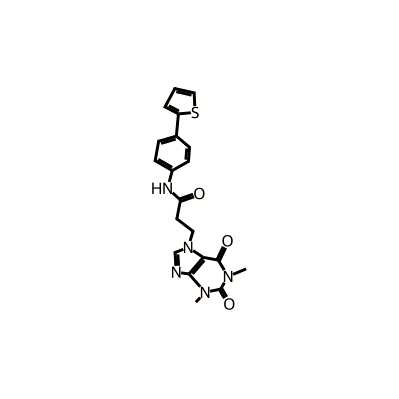 Cn1c(=O)c2c(ncn2CCC(=O)Nc2ccc(-c3cccs3)cc2)n(C)c1=O